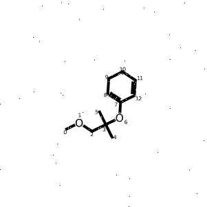 COCC(C)(C)OC1=CC[CH]C=C1